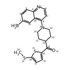 Bc1ccc2nccc(N3CCC(C(=O)c4ccc(SC)s4)CC3)c2c1